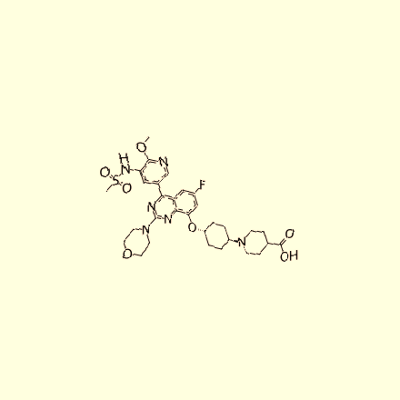 COc1ncc(-c2nc(N3CCOCC3)nc3c(O[C@H]4CC[C@H](N5CCC(C(=O)O)CC5)CC4)cc(F)cc23)cc1NS(C)(=O)=O